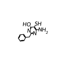 Nc1nc(Cc2ccccc2)nc(O)c1S